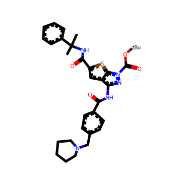 CC(C)(C)OC(=O)n1nc(NC(=O)c2ccc(CN3CCCCC3)cc2)c2cc(C(=O)NC(C)(C)c3ccccc3)sc21